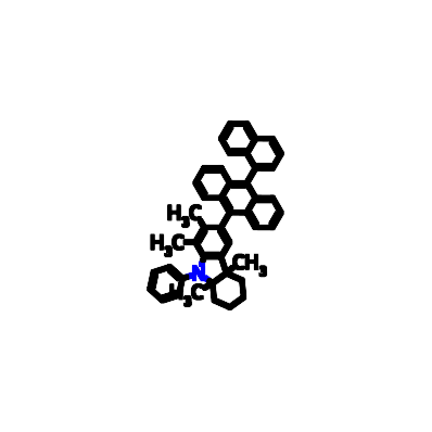 Cc1c(-c2c3ccccc3c(-c3cccc4ccccc34)c3ccccc23)cc2c(c1C)N(c1ccccc1)C1(C)CCCCC21C